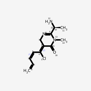 C=C/C=C\C(Cl)=C1/CN=C([C@H](C)N)N(C)C1=O